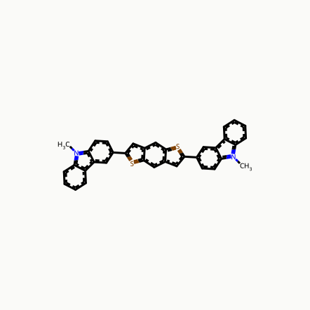 Cn1c2ccccc2c2cc(-c3cc4cc5sc(-c6ccc7c(c6)c6ccccc6n7C)cc5cc4s3)ccc21